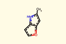 Cc1cc2occc2[nH]1